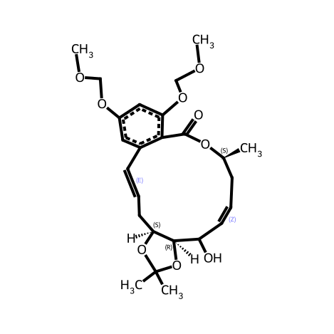 COCOc1cc2c(c(OCOC)c1)C(=O)O[C@@H](C)C/C=C\C(O)[C@H]1OC(C)(C)O[C@H]1C/C=C/2